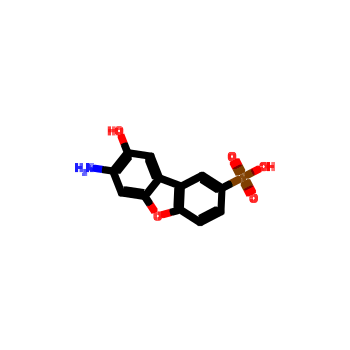 Nc1cc2oc3ccc(S(=O)(=O)O)cc3c2cc1O